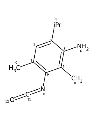 Cc1cc(C(C)C)c(N)c(C)c1N=C=O